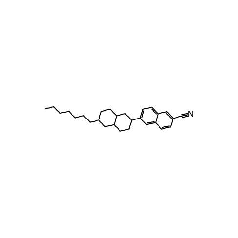 CCCCCCCC1CCC2CC(c3ccc4cc(C#N)ccc4c3)CCC2C1